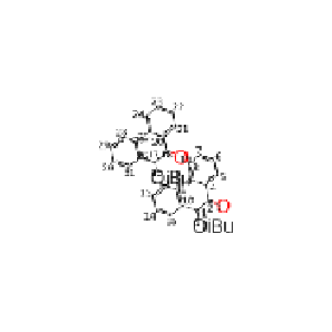 CC(C)COC(C(=O)c1ccccc1)c1ccccc1.CC(C)COC(C(=O)c1ccccc1)c1ccccc1